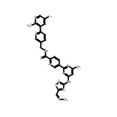 C/N=C\c1nc(Nc2cc(C)nc(-c3ccc(C(=O)NCc4ccc(-c5cc(F)cnc5C)nc4)nc3)n2)no1